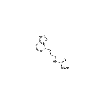 CCCCCCCCCC(=O)NCCSc1cccc2nccn12